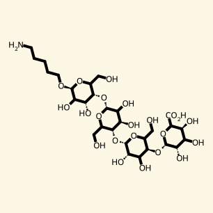 NCCCCCO[C@H]1OC(CO)[C@H](O[C@H]2OC(CO)[C@@H](O[C@@H]3OC(CO)[C@@H](O[C@@H]4OC(C(=O)O)[C@@H](O)C(O)[C@@H]4O)C(O)[C@@H]3O)[C@H](O)C2O)[C@H](O)C1O